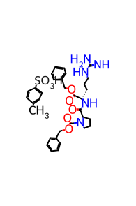 Cc1ccc(S(=O)(=O)O)cc1.N=C(N)NCCC[C@H](NC(=O)C1CCCN1C(=O)OCc1ccccc1)C(=O)OCc1ccccc1